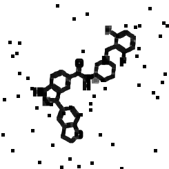 O=C(N[C@@H]1CCCN(Cc2c(F)cccc2F)C1)c1ccc2[nH]nc(-c3ccc4c(c3)CCO4)c2c1